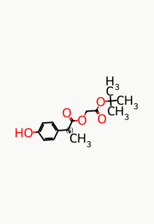 C[C@H](C(=O)OCC(=O)OC(C)(C)C)c1ccc(O)cc1